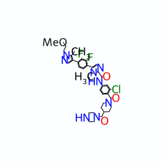 COCCn1ncc(-c2ccc(-c3cnc(C(=O)Nc4ccc(C(=O)N5CCC(C(=O)N6CCNCC6)CC5)c(Cl)c4)n3C)c(F)c2F)c1C